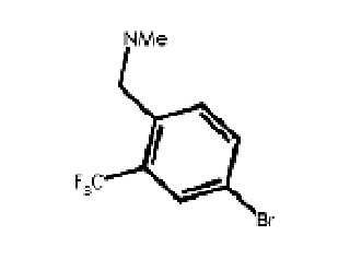 CNCc1ccc(Br)cc1C(F)(F)F